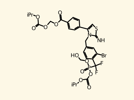 CC(C)OC(=O)OCOC(=O)c1ccc(-c2csc(=N)n2Cc2ccc(C(F)(F)P(=O)(OCO)OC(=O)OC(C)C)c(Br)c2)cc1